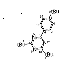 CC(C)(C)c1ccc(-c2nc(C(C)(C)C)nc(C(C)(C)C)n2)cc1